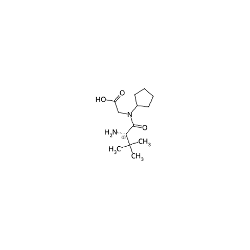 CC(C)(C)[C@H](N)C(=O)N(CC(=O)O)C1CCCC1